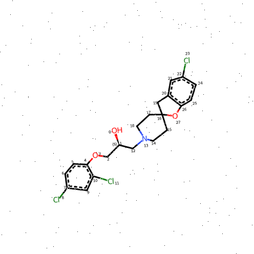 O[C@H](COc1ccc(Cl)cc1Cl)CN1CCC2(CC1)Cc1cc(Cl)ccc1O2